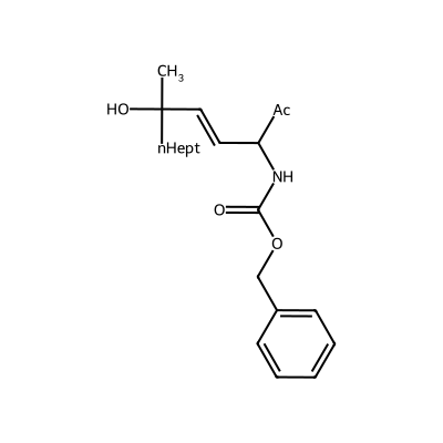 CCCCCCCC(C)(O)/C=C/C(NC(=O)OCc1ccccc1)C(C)=O